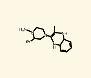 CC1=C(N2CCN(N)C(C(C)C)C2)NC2C=CC=CC2N1